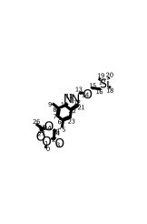 COC(=O)[C@@H](Cc1cc(C)c2nn(COCC[Si](C)(C)C)cc2c1)OC(C)=O